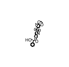 O=C([C@H](CO)c1ccccc1)N1Cc2cn(S(=O)(=O)c3cnc4c(c3)OCCO4)nc2C1